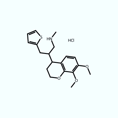 CNCC(Cc1cccs1)C1CCOc2c1ccc(OC)c2OC.Cl